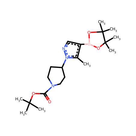 Cc1c(B2OC(C)(C)C(C)(C)O2)cnn1C1CCN(C(=O)OC(C)(C)C)CC1